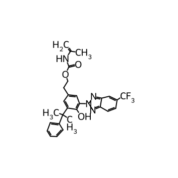 C=C(C)NC(=O)OCCc1cc(-n2nc3ccc(C(F)(F)F)cc3n2)c(O)c(C(C)(C)c2ccccc2)c1